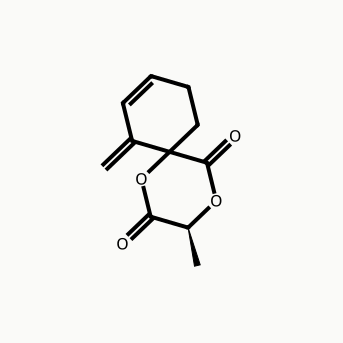 C=C1C=CCCC12OC(=O)[C@H](C)OC2=O